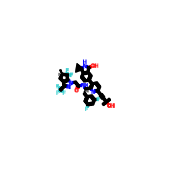 C[C@@H]1Cc2c(C(F)(F)F)nn(CC(=O)N[C@@H](Cc3cc(F)cc(F)c3)c3nc(C#CC(C)(C)O)ccc3-c3ccc4c(c3)C(O)NC43CC3)c2C1(F)F